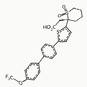 O=C(O)C[C@]1(c2ccc(-c3ccc(-c4ccc(OC(F)(F)F)cc4)cc3)s2)CCCCS1(=O)=O